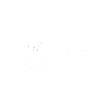 O=COCCSc1ccccc1[N+](=O)[O-]